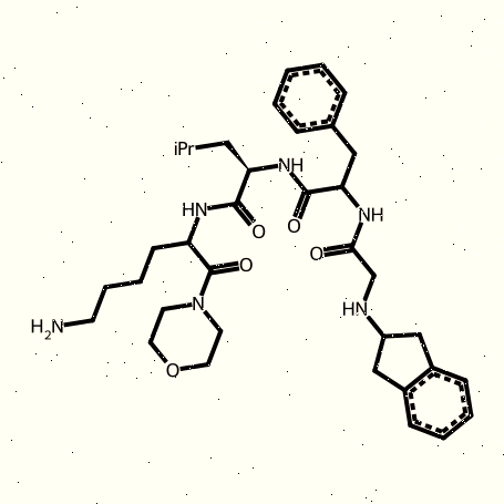 CC(C)C[C@@H](NC(=O)C(Cc1ccccc1)NC(=O)CNC1Cc2ccccc2C1)C(=O)NC(CCCCN)C(=O)N1CCOCC1